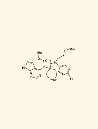 COCCCN(C(=O)C1(N(C(=O)OC(C)(C)C)c2ncnc3[nH]ccc23)CCNCC1)c1ccc(Cl)cc1